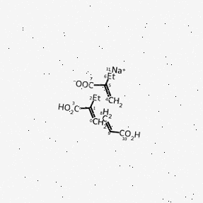 C=C(CC)C(=O)O.C=C(CC)C(=O)[O-].C=CC(=O)O.[Na+]